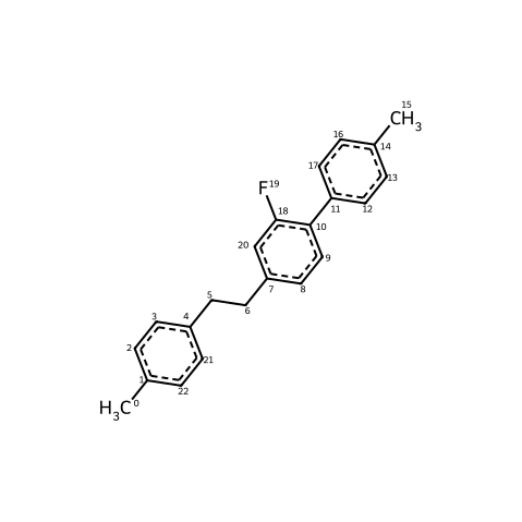 Cc1ccc(CCc2ccc(-c3ccc(C)cc3)c(F)c2)cc1